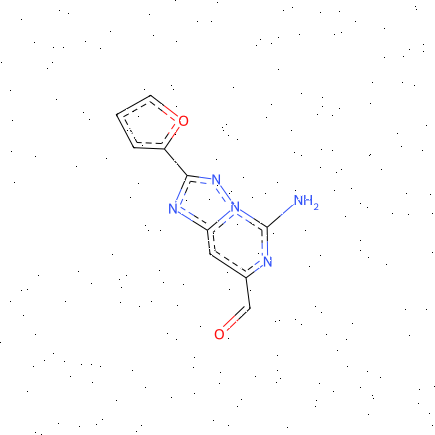 Nc1nc(C=O)cc2nc(-c3ccco3)nn12